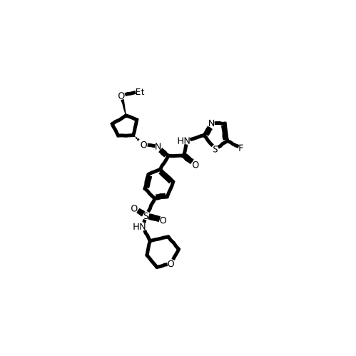 CCO[C@@H]1CC[C@@H](O/N=C(/C(=O)Nc2ncc(F)s2)c2ccc(S(=O)(=O)NC3CCOCC3)cc2)C1